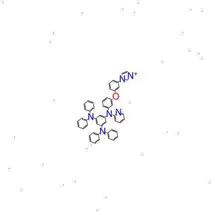 C[n+]1ccn(-c2cccc(Oc3cccc(N(c4cc(N(c5ccccc5)c5ccccc5)cc(N(c5ccccc5)c5ccccc5)c4)c4ccccn4)c3)c2)c1